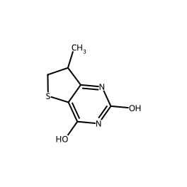 CC1CSc2c(O)nc(O)nc21